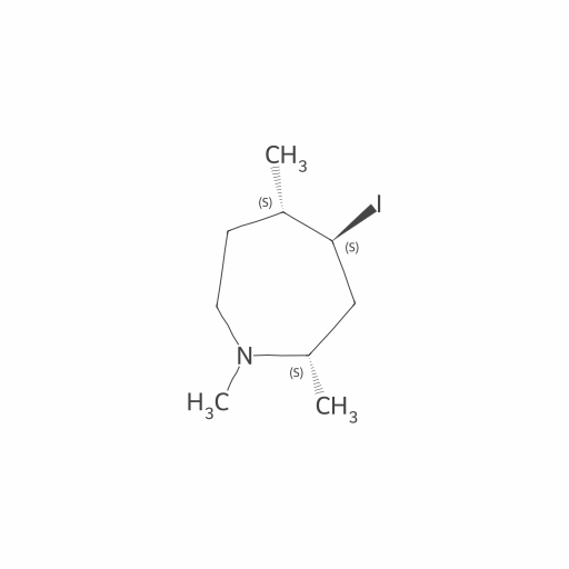 C[C@H]1CCN(C)[C@@H](C)C[C@@H]1I